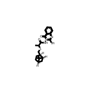 CC(SC[C@@H]1CC[C@H]2C[C@@H]1C2(C)C)C(=O)Nn1c(C(C)C)nc2ccccc2c1=O